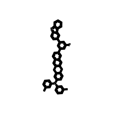 Cc1cccc(N(c2cccc(C)c2)c2ccc3c(c2)Cc2cc4ccc(-c5cc(F)cc(-c6ccc7sc8ccccc8c7c6)c5)cc4cc2C3)c1